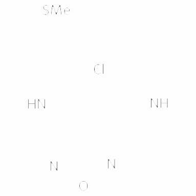 CSCCNc1nonc1C(=N)Cl